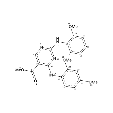 COC(=O)c1cnc(Nc2ccccc2OC)nc1Nc1ccc(OC)cc1OC